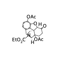 CCOC(=O)N1CC[C@]23c4c5ccc(OC(C)=O)c4O[C@H]2C(=O)CCC3(OC(C)=O)[C@H]1C5